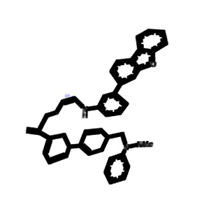 C=C(CC/C=C\Nc1cccc(-c2ccc3c(c2)oc2ccccc23)c1)C1=CC=CC(C2=CCC(CN(NC)c3ccccc3)C=C2)C1